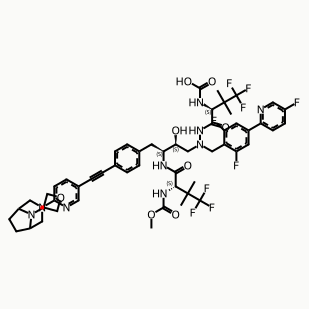 COC(=O)N[C@H](C(=O)N[C@@H](Cc1ccc(C#Cc2ccc(N3CC4CCC(C3)N4C3COC3)nc2)cc1)[C@@H](O)CN(Cc1c(F)cc(-c2ccc(F)cn2)cc1F)NC(=O)[C@@H](NC(=O)O)C(C)(C)C(F)(F)F)C(C)(C)C(F)(F)F